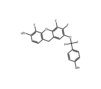 CCCc1ccc(C(F)(F)Oc2cc3c(c(F)c2F)Oc2c(ccc(CCC)c2F)C3)cc1